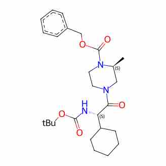 C[C@H]1CN(C(=O)[C@@H](NC(=O)OC(C)(C)C)C2CCCCC2)CCN1C(=O)OCc1ccccc1